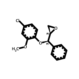 COc1cc(Cl)ccc1O[C@H](c1ccccc1)[C@H]1CO1